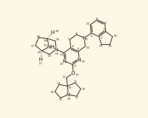 c1cc2c(c(N3CCc4c(nc(OCC56CCCN5CCC6)nc4N4C[C@H]5CC[C@@H](C4)N5)C3)c1)CCC2